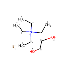 CC[N+](CC)(CC)CC.OCCO.[Br-]